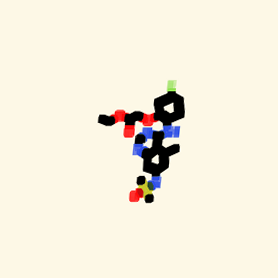 CCOC(=O)COc1cc(F)ccc1Nc1ncnc2cc(N=S(C)(C)=O)cc(C)c12